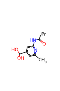 Cc1cc(C(O)O)cc(NC(=O)C(C)C)n1